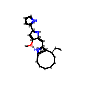 CC[C@@H]1CCCCCCc2cc1c(/C=C1/N=C(c3ccc[nH]3)C=C1OC)[nH]2